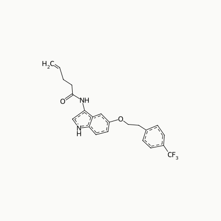 C=CCCC(=O)Nc1c[nH]c2ccc(OCCc3ccc(C(F)(F)F)cc3)cc12